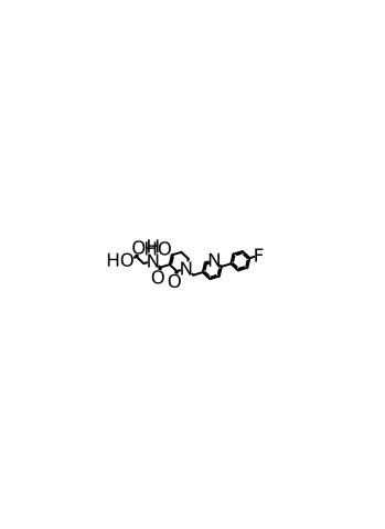 O=C(O)CNC(=O)C1=C(O)CCN(Cc2ccc(-c3ccc(F)cc3)nc2)C1=O